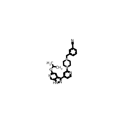 CC(C)Oc1cc2c(-c3ccnc(N4CCN(Cc5cccc(C#N)c5)CC4)c3)n[nH]c2cn1